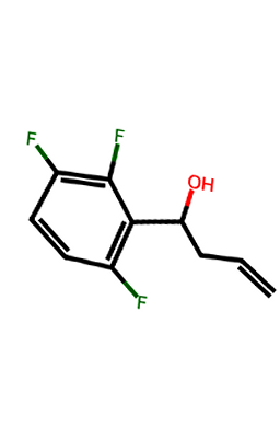 C=CCC(O)c1c(F)ccc(F)c1F